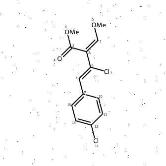 COC=C(C(=O)OC)C(Cl)=Cc1ccc(Cl)cc1